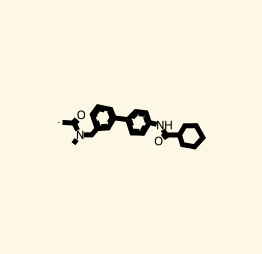 [CH2]C(=O)N(C)Cc1cccc(-c2ccc(NC(=O)C3CCCCC3)cc2)c1